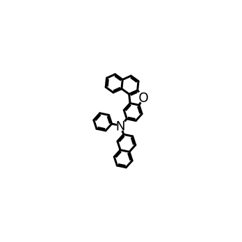 c1ccc(N(c2ccc3ccccc3c2)c2ccc3oc4ccc5ccccc5c4c3c2)cc1